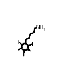 NCCCCCc1c(I)c(I)c(I)c(I)c1I